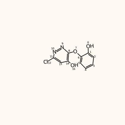 Oc1ccccc1Oc1nnc(Cl)cc1O